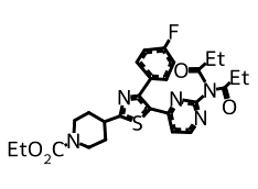 CCOC(=O)N1CCC(c2nc(-c3ccc(F)cc3)c(-c3ccnc(N(C(=O)CC)C(=O)CC)n3)s2)CC1